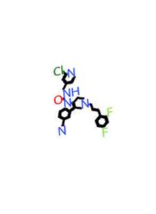 N#Cc1ccc2c(c1)c1c(n2C(=O)NCc2ccnc(Cl)c2)CCN(C/C=C/c2ccc(F)cc2F)C1